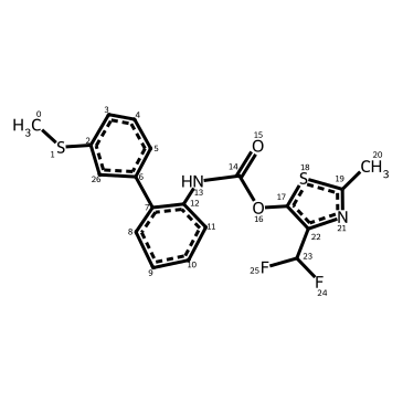 CSc1cccc(-c2ccccc2NC(=O)Oc2sc(C)nc2C(F)F)c1